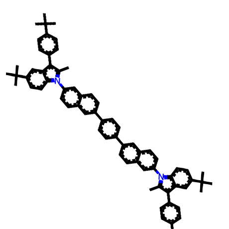 Cc1c(-c2ccc(C(C)(C)C)cc2)c2cc(C(C)(C)C)ccc2n1-c1ccc2cc(-c3ccc(-c4ccc5cc(-n6c(C)c(-c7ccc(C(C)(C)C)cc7)c7cc(C(C)(C)C)ccc76)ccc5c4)cc3)ccc2c1